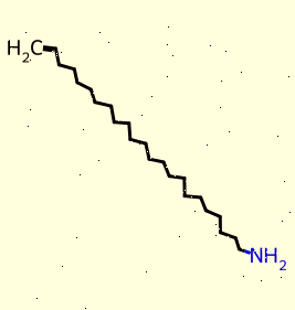 C=CCCCCCCCCCCCCCCCCCCCCCN